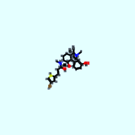 CN1CC[C@@]23c4c5ccc(O)c4C[C@@H]1[C@@H]2CC[C@@H](N(C)C(=O)/C=C/c1cc(Br)cs1)[C@@H]3O5